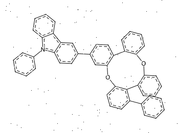 c1ccc(-c2cccc3c2-c2ccccc2Oc2ccccc2-c2ccc(-c4ccc5c(c4)c4ccccc4n5-c4ccccc4)cc2O3)cc1